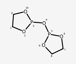 C1COP(OP2OCCO2)O1